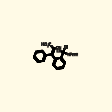 CCCCCC(CC)(CC)c1ccccc1C(=C(C#N)C(=O)O)c1ccccc1